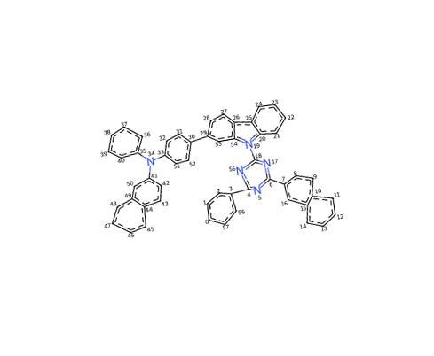 c1ccc(-c2nc(-c3ccc4ccccc4c3)nc(-n3c4ccccc4c4ccc(-c5ccc(N(c6ccccc6)c6ccc7ccccc7c6)cc5)cc43)n2)cc1